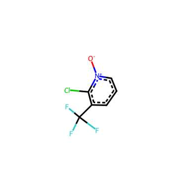 [O-][n+]1cccc(C(F)(F)F)c1Cl